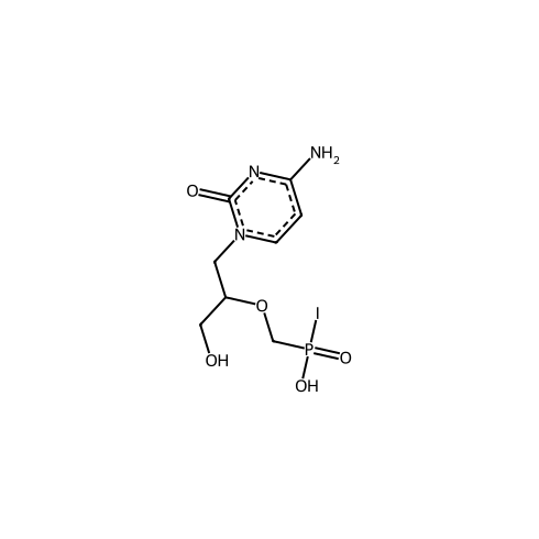 Nc1ccn(CC(CO)OCP(=O)(O)I)c(=O)n1